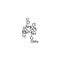 COc1ccc(CNC(=O)c2ccc(C)n(-c3cc(C)ccc3F)c2=O)cc1.Cc1ccc(F)c(-n2c(C)ccc(C(=O)NCc3cccc(Cl)c3)c2=O)c1